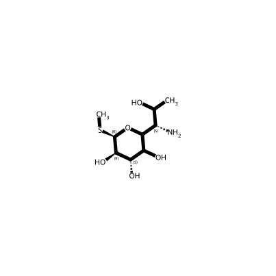 CS[C@H]1OC([C@@H](N)C(C)O)C(O)[C@H](O)[C@H]1O